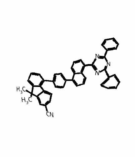 CC1(C)c2cc(C#N)ccc2-c2c(-c3ccc(-c4cccc5c(-c6nc(-c7ccccc7)nc(-c7ccccc7)n6)cccc45)cc3)cccc21